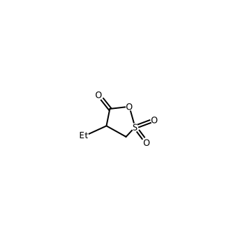 CCC1CS(=O)(=O)OC1=O